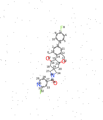 Cc1cc(-c2ccc(F)cc2)cc(C)c1C1C(=O)CC2(CC1=O)CN(C(=O)c1ccnc(F)c1)C2